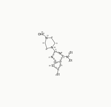 CCc1cc2c(N(CC)CC)nc(N3CCN(C=O)CC3)nc2s1